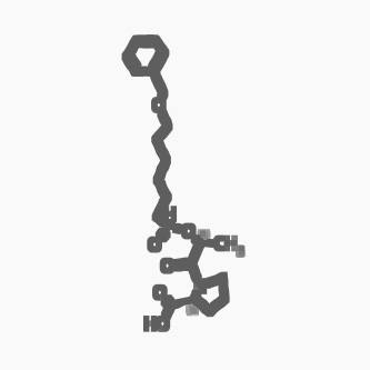 C[C@H](O[PH](=O)CCCCCCOCc1ccccc1)C(=O)N1CCC[C@H]1C(=O)O